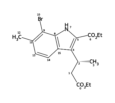 CCOC(=O)C[C@@H](C)c1c(C(=O)OCC)[nH]c2c(Br)c(C)ccc12